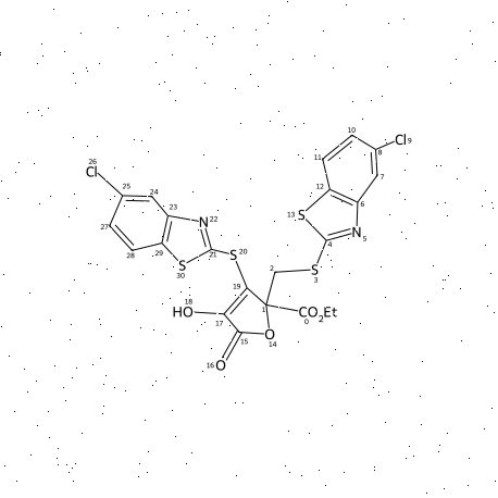 CCOC(=O)C1(CSc2nc3cc(Cl)ccc3s2)OC(=O)C(O)=C1Sc1nc2cc(Cl)ccc2s1